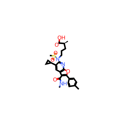 CNC(=O)c1c(-c2ccc(C)cc2)oc2nc(N(CCC[C@H](C)C(=O)O)S(C)(=O)=O)c(C3CC3)cc12